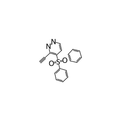 C#Cc1nnccc1S(=O)(=O)c1ccccc1.c1ccccc1